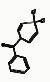 O=C(c1ccccc1)C1C=CC(Cl)(Cl)C=C1